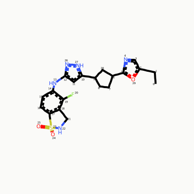 CCc1cnc(C2CCC(c3cc(Nc4ccc5c(c4F)CNS5(=O)=O)n[nH]3)C2)o1